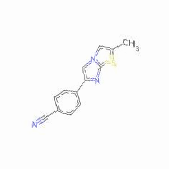 Cc1cn2cc(-c3ccc(C#N)cc3)nc2s1